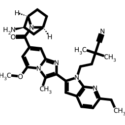 CCc1ccc2cc(-c3nc4cc(C(=O)N5[C@H]6CC[C@@H]5[C@H](N)C6)cc(OC)n4c3C)n(CCC(C)(C)C#N)c2n1